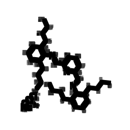 CCCCc1cccc(CCCC)c1N=Cc1cccc(C=Nc2c(CCCC)cccc2CCCC)n1.[Cl-].[Cl-].[Cl-].[Nd+3]